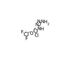 Nc1cc(Nc2ccc(OCc3cc(F)cc(F)c3)c(Cl)c2)ncn1